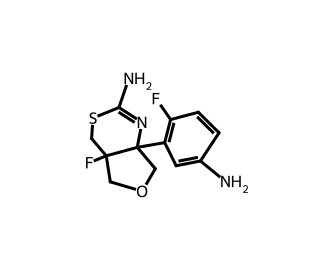 NC1=NC2(c3cc(N)ccc3F)COCC2(F)CS1